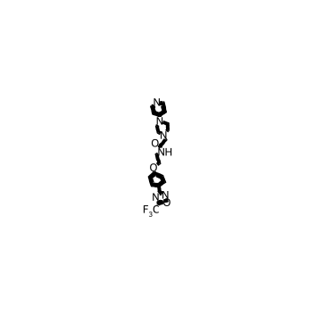 O=C(CN1CCN(c2ccncc2)CC1)NCCOc1ccc(-c2noc(C(F)(F)F)n2)cc1